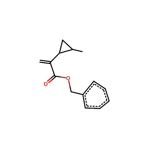 C=C(C(=O)OCc1ccccc1)C1CC1C